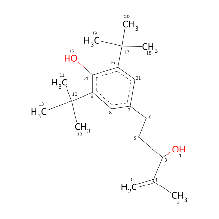 C=C(C)C(O)CCc1cc(C(C)(C)C)c(O)c(C(C)(C)C)c1